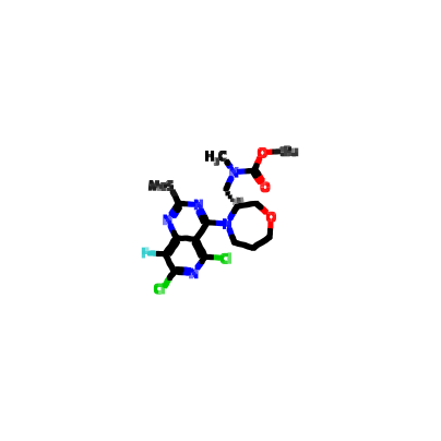 CSc1nc(N2CCCOC[C@H]2CN(C)C(=O)OC(C)(C)C)c2c(Cl)nc(Cl)c(F)c2n1